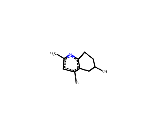 CCc1cc(C)nc2c1CC(C#N)CC2